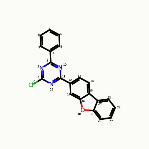 Clc1nc(-c2ccccc2)nc(-c2ccc3c(c2)oc2ccccc23)n1